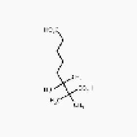 CC(C)(CCCCC(=O)O)C(C)(C)C(=O)O